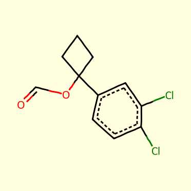 O=COC1(c2ccc(Cl)c(Cl)c2)CCC1